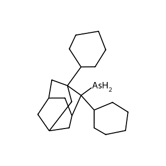 [AsH2]C1(C2CCCCC2)C2CC3CC(C2)CC1(C1CCCCC1)C3